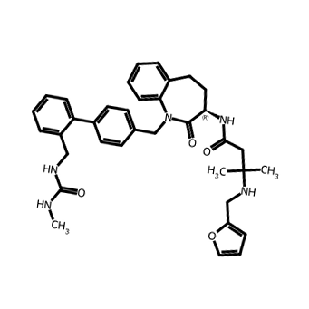 CNC(=O)NCc1ccccc1-c1ccc(CN2C(=O)[C@H](NC(=O)CC(C)(C)NCc3ccco3)CCc3ccccc32)cc1